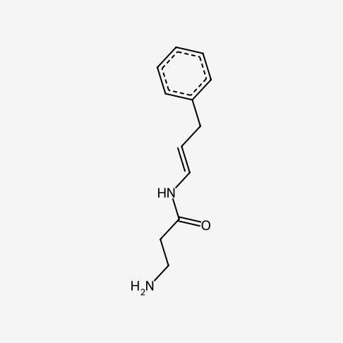 NCCC(=O)NC=CCc1ccccc1